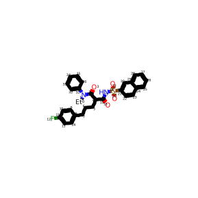 CCN(C(=O)C(CCCc1ccc(F)cc1)C(=O)NS(=O)(=O)c1ccc2ccccc2c1)c1ccccc1